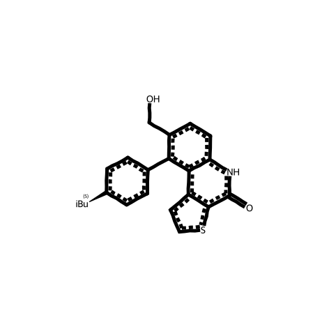 CC[C@H](C)c1ccc(-c2c(CO)ccc3[nH]c(=O)c4sccc4c23)cc1